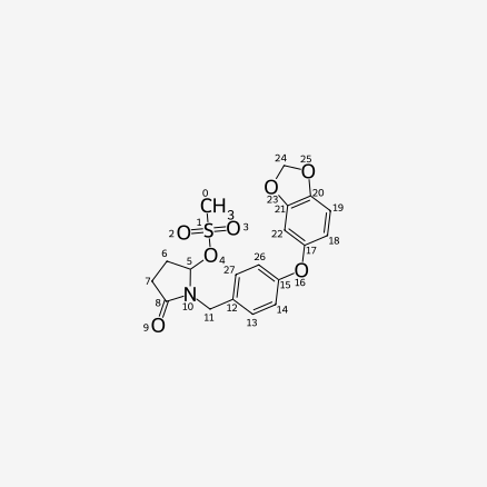 CS(=O)(=O)OC1CCC(=O)N1Cc1ccc(Oc2ccc3c(c2)OCO3)cc1